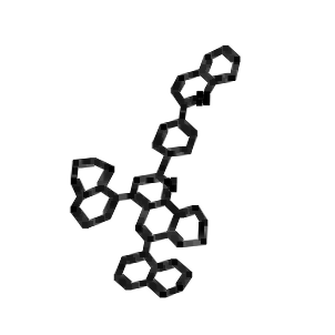 c1ccc2nc(-c3ccc(-c4cc(-c5cccc6ccccc56)c5cc(-c6cccc7ccccc67)c6ccccc6c5n4)cc3)ccc2c1